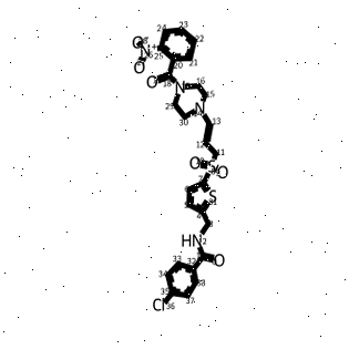 O=C(NCc1ccc(S(=O)(=O)CC=CN2CCN(C(=O)c3ccccc3[N+](=O)[O-])CC2)s1)c1ccc(Cl)cc1